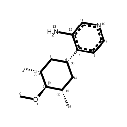 CO[C@H]1[C@H](C)C[C@H](c2ccncc2N)C[C@@H]1C